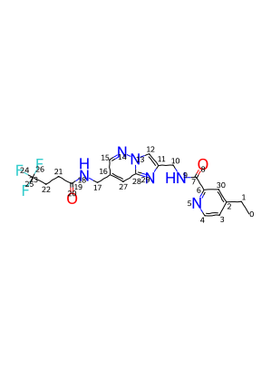 CCc1ccnc(C(=O)NCc2cn3ncc(CNC(=O)CCC(F)(F)F)cc3n2)c1